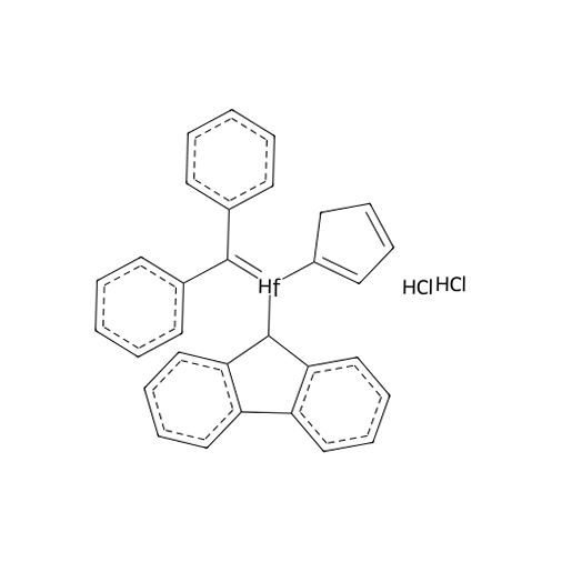 C1=CC[C]([Hf](=[C](c2ccccc2)c2ccccc2)[CH]2c3ccccc3-c3ccccc32)=C1.Cl.Cl